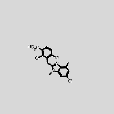 Cc1cc(Cl)cc2c1nc(Cc1c(Cl)ccc(C(=O)O)c1Cl)n2C